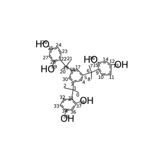 CC(C)(c1cc(C(C)(C)c2ccc(O)cc2O)cc(C(C)(C)c2ccc(O)cc2O)c1)c1ccc(O)cc1O